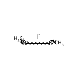 Cn1cc[n+](CCCCCCCCCCCCC[n+]2ccn(C)c2)c1.[I-].[I-]